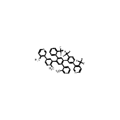 Cc1ccncc1-c1ccc(C)c(-c2cc(-c3ccccc3C)c(-c3cc(-c4cnccc4C(F)(F)F)ccc3C(F)(F)F)cc2-c2ccccc2C(F)(F)F)c1